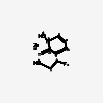 OCCF.On1ccccc1=S.[Zn]